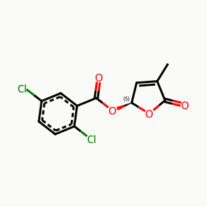 CC1=C[C@H](OC(=O)c2cc(Cl)ccc2Cl)OC1=O